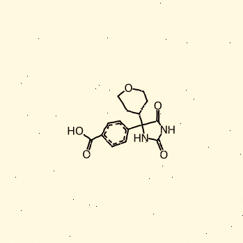 O=C1NC(=O)C(c2ccc(C(=O)O)cc2)(C2CCOCC2)N1